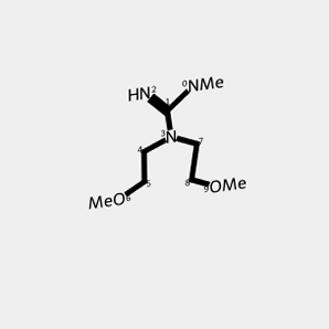 CNC(=N)N(CCOC)CCOC